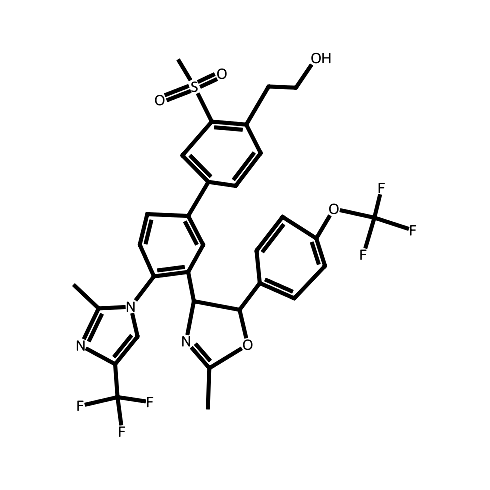 CC1=NC(c2cc(-c3ccc(CCO)c(S(C)(=O)=O)c3)ccc2-n2cc(C(F)(F)F)nc2C)C(c2ccc(OC(F)(F)F)cc2)O1